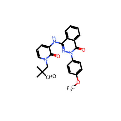 CC(C)(C=O)Cn1cccc(Nc2nn(-c3ccc(OC(F)(F)F)cc3)c(=O)c3ccccc23)c1=O